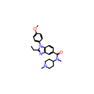 CCc1nc2cc(C(=O)N(C)C3CCN(C)CC3)ccc2n1-c1ccc(OC)cc1